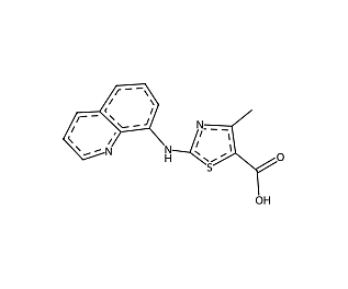 Cc1nc(Nc2cccc3cccnc23)sc1C(=O)O